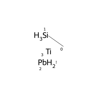 C[SiH3].[PbH2].[Ti]